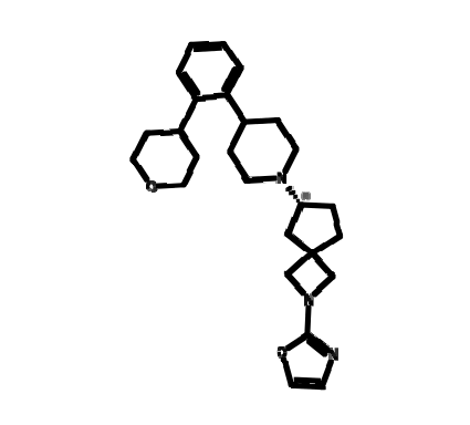 c1ccc(C2CCN([C@@H]3CCC4(C3)CN(c3ncco3)C4)CC2)c(C2CCOCC2)c1